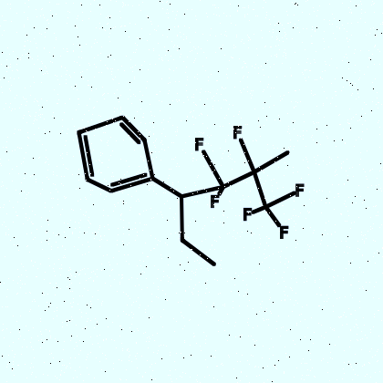 CCC(c1ccccc1)C(F)(F)C(C)(F)C(F)(F)F